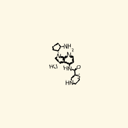 Cl.N[C@@H]1CCC[C@H]1n1ccc2c(NC(=O)C3=CNCCS3)ccnc21